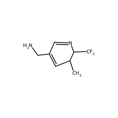 CC1C=C(CN)C=NC1C(F)(F)F